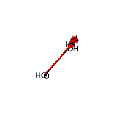 C=C(C)[C@@H]1CC[C@]2(C)CC[C@]3(C)[C@H](CC[C@@H]4[C@@]5(C)CCC(O)(CCCCCCCCCCCCCCCCCCCCCCCCCCCCCC(=O)O)C(C)(C)[C@@H]5CC[C@]43C)[C@@H]12